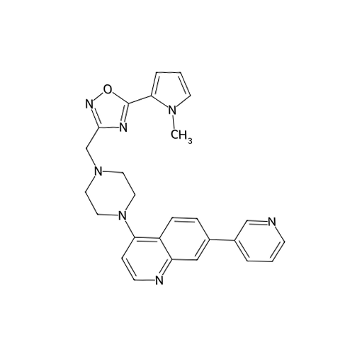 Cn1cccc1-c1nc(CN2CCN(c3ccnc4cc(-c5cccnc5)ccc34)CC2)no1